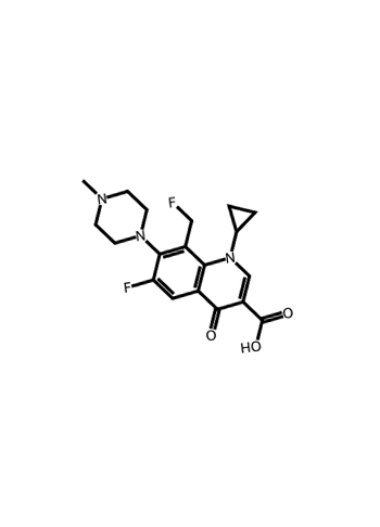 CN1CCN(c2c(F)cc3c(=O)c(C(=O)O)cn(C4CC4)c3c2CF)CC1